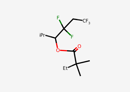 CCC(C)(C)C(=O)OC(C(C)C)C(F)(F)CC(F)(F)F